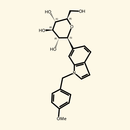 COc1ccc(Cn2ccc3ccc([C@@H]4O[C@H](CO)[C@@H](O)[C@H](O)[C@H]4O)cc32)cc1